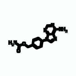 NC(=O)OCc1ccc(-n2cnc3c(N)ncnc32)cc1